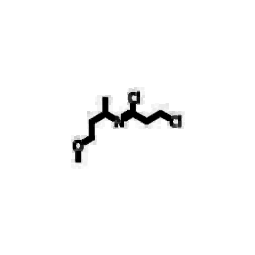 COCCC(C)N=C(Cl)CCCl